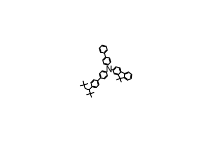 CC(C)(C)CC(c1ccc(-c2ccc(N(c3ccc(-c4ccccc4)cc3)c3ccc4c(c3)C(C)(C)c3ccccc3-4)cc2)cc1)C(C)(C)C